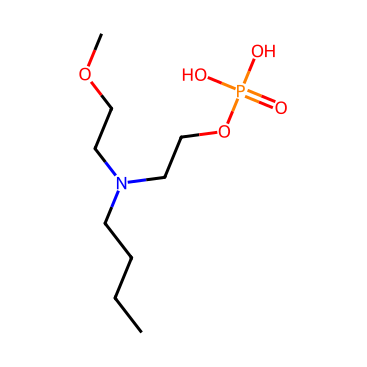 CCCCN(CCOC)CCOP(=O)(O)O